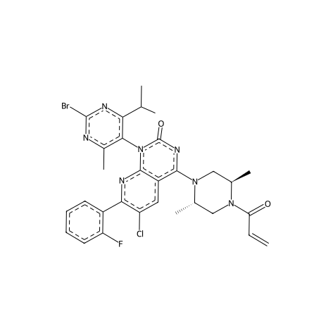 C=CC(=O)N1C[C@H](C)N(c2nc(=O)n(-c3c(C)nc(Br)nc3C(C)C)c3nc(-c4ccccc4F)c(Cl)cc23)C[C@H]1C